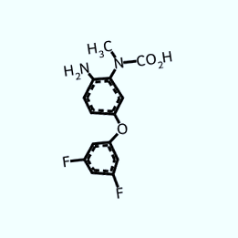 CN(C(=O)O)c1cc(Oc2cc(F)cc(F)c2)ccc1N